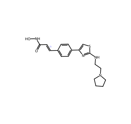 O=C(/C=C/c1ccc(-c2csc(NCCN3CCCC3)n2)cc1)NO